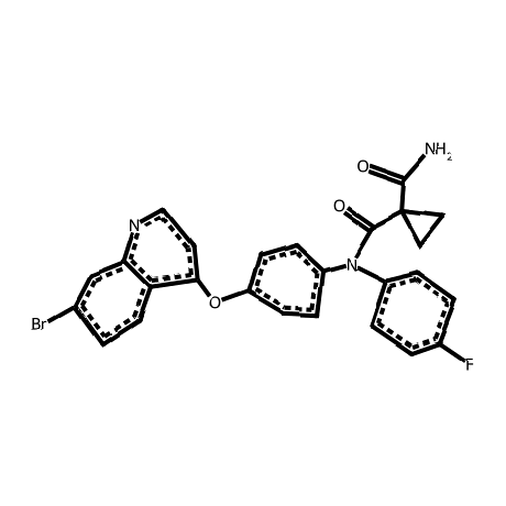 NC(=O)C1(C(=O)N(c2ccc(F)cc2)c2ccc(Oc3ccnc4cc(Br)ccc34)cc2)CC1